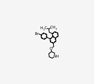 CC(C)Cc1cccc2cc(COC3CCCNC3)cc(-c3ccc(Br)cc3)c12